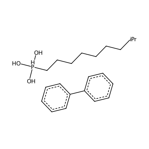 CC(C)CCCCCCC[PH](O)(O)O.c1ccc(-c2ccccc2)cc1